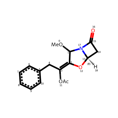 COC1C(=C(Cc2ccccc2)OC(C)=O)O[C@@H]2CC(=O)N12